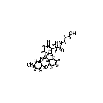 CC(C)(C(=O)NCCCO)[C@H]1CN(C2=Nc3cc(Cl)ccc3Oc3ccccc32)CCN1